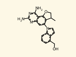 CC1COc2c1c(-n1ccc3c(CO)cccc31)cc1nc(N)nc(N)c21